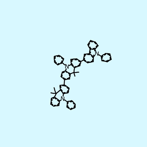 CC1(C)c2ccccc2N(c2ccccc2)c2ccc(-c3ccc4c(c3)C(C)(C)c3cc(-c5ccc6c(c5)c5ccccc5n6-c5ccccc5)ccc3N4c3ccccc3)cc21